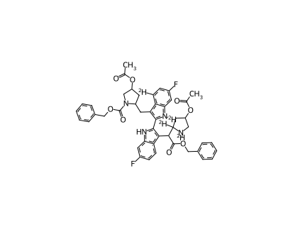 [2H]c1cc(F)cc2c1c(CC1CC(OC(C)=O)CN1C(=O)OCc1ccccc1)c(-c1[nH]c3cc(F)ccc3c1C(C(=O)OCc1ccccc1)C1([2H])CC(OC(C)=O)CN1[2H])n2[2H]